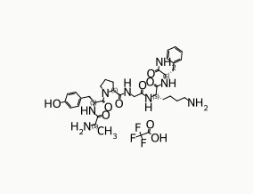 C[C@H](N)C(=O)N[C@@H](Cc1ccc(O)cc1)C(=O)N1CCC[C@H]1C(=O)NCC(=O)N[C@@H](CCCCN)C(=O)N[C@@H](Cc1ccccc1)C(N)=O.O=C(O)C(F)(F)F